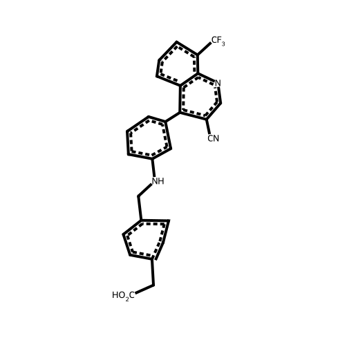 N#Cc1cnc2c(C(F)(F)F)cccc2c1-c1cccc(NCc2ccc(CC(=O)O)cc2)c1